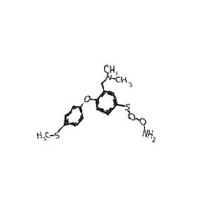 CSc1ccc(Oc2ccc(SOON)cc2CN(C)C)cc1